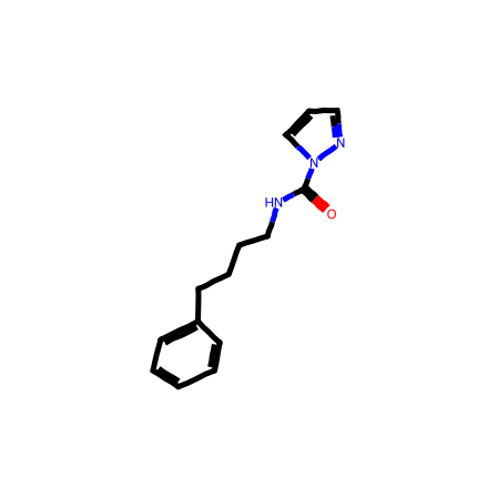 O=C(NCCCCc1ccccc1)n1cccn1